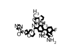 C[C@H](Oc1nc(N2CCOC3(CN(C(=O)n4cncn4)C3)C2)c2cc(Cl)c(-c3ccc(F)c4sc(N)c(C#N)c34)c(F)c2n1)[C@@H]1CCCN1C